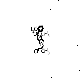 Cc1cccc(C)c1C(=O)N1CC2CN(CC(C)CCl)CC2C1